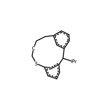 CC(C)C1c2cccc(c2)CCCCSc2cccc1c2